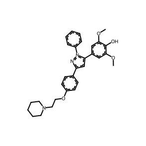 COc1cc(-c2cc(-c3ccc(OCCN4CCCCC4)cc3)nn2-c2ccccc2)cc(OC)c1O